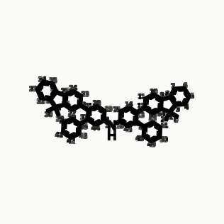 CC1(C)c2ccccc2-c2ccc(-c3ccc(Nc4ccc(-c5ccc6c(c5)C(C)(C)c5ccccc5-6)c(-c5ccccc5)c4)cc3-c3ccccc3)cc21